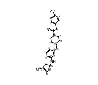 O=C(Cc1ccc(Cl)cc1)N1CCN(Cc2cccc(Nc3ncc(Cl)s3)n2)CC1